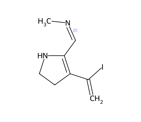 C=C(I)C1=C(/C=N\C)NCC1